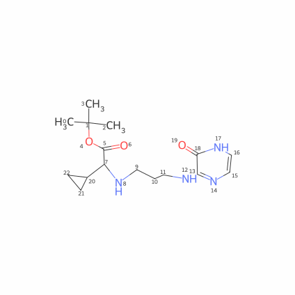 CC(C)(C)OC(=O)C(NCCCNc1ncc[nH]c1=O)C1CC1